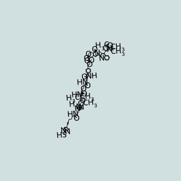 CC(C)N(CCc1c2c(nc3ccccc13)-c1cc3c(c(=O)n1C2)COC(=O)[C@H]3OC(=O)OCc1ccc(NC(=O)CNC(=O)COCC(=O)NC(C)(C)COC(C)(C)Cn2cc(CNC(=O)CCCC#Cc3cnc(S)nc3)nn2)cc1)S(C)(=O)=O